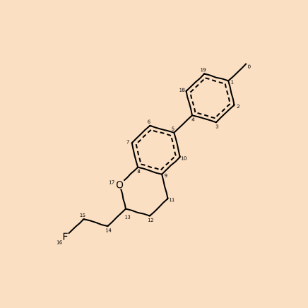 Cc1ccc(-c2ccc3c(c2)CCC(CCF)O3)cc1